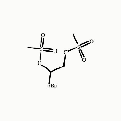 [CH2]CCCC(COS(C)(=O)=O)OS(C)(=O)=O